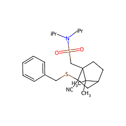 CC(C)N(C(C)C)S(=O)(=O)CC12CCC(CC1(C#N)SCc1ccccc1)C2(C)C